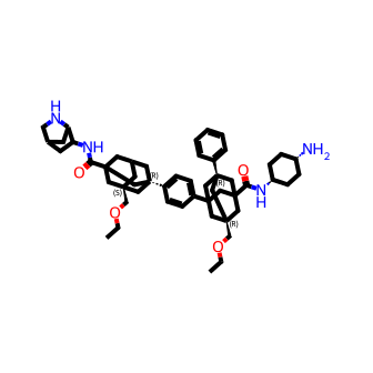 CCOC[C@]12CC3CC(C(=O)NC4CC5CNC4C5)(C1)C[C@@](c1ccc(C45CC6(C(=O)N[C@H]7CC[C@@H](N)CC7)C[C@](COCC)(C4)C[C@@](c4ccccc4)(C6)C5)cc1)(C3)C2